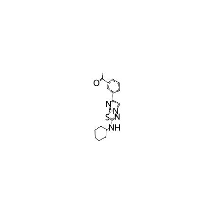 CC(=O)c1cccc(-c2cn3nc(NC4CCCCC4)sc3n2)c1